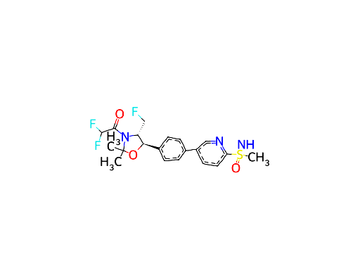 CC1(C)O[C@H](c2ccc(-c3ccc(S(C)(=N)=O)nc3)cc2)[C@@H](CF)N1C(=O)C(F)F